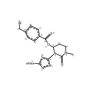 CCCCCCc1nnc(N2C(=O)N(C)CCC2OC(=S)c2ccc(CBr)cc2)s1